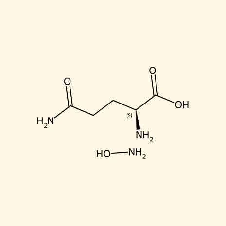 NC(=O)CC[C@H](N)C(=O)O.NO